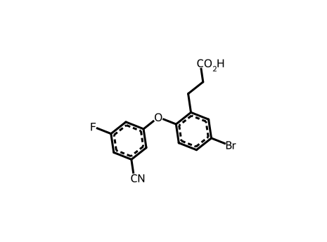 N#Cc1cc(F)cc(Oc2ccc(Br)cc2CCC(=O)O)c1